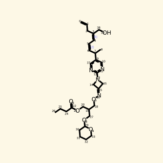 C=CC/C(=C\C=C/C(C)c1cnc(N2CC(=NOCC(COC(=O)CCC)COC3CCCCO3)C2)nc1)CO